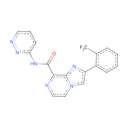 O=C(Nc1cccnn1)c1nccn2cc(-c3ccccc3C(F)(F)F)nc12